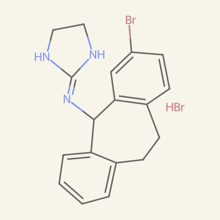 Br.Brc1ccc2c(c1)C(N=C1NCCN1)c1ccccc1CC2